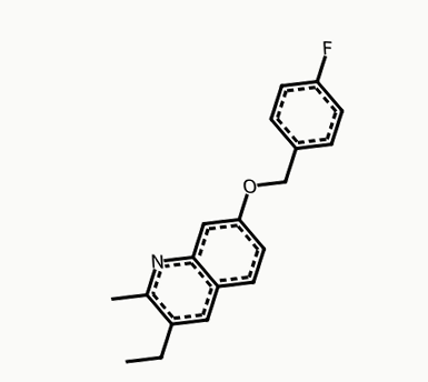 CCc1cc2ccc(OCc3ccc(F)cc3)cc2nc1C